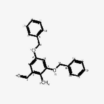 Cc1c(C=O)cc(OCc2ccccc2)cc1OCc1ccccc1